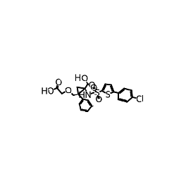 O=C(O)COC[C@@]1(c2ccccc2)C[C@]1(NS(=O)(=O)c1ccc(-c2ccc(Cl)cc2)s1)C(=O)O